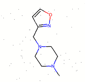 CN1CCN(Cc2c[c]on2)CC1